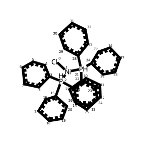 [Cl][Ni]([PH](c1ccccc1)(c1ccccc1)c1ccccc1)[PH](c1ccccc1)(c1ccccc1)c1ccccc1